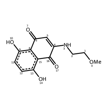 COCCNC1=CC(=O)c2c(O)ccc(O)c2C1=O